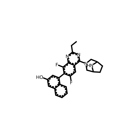 CCc1nc(N2CC3CCC(C2)N3)c2cc(F)c(-c3cc(O)cc4ccccc34)c(F)c2n1